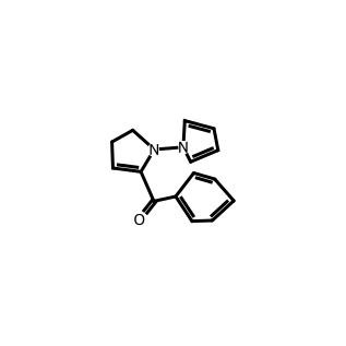 O=C(C1=CCCN1n1cccc1)c1ccccc1